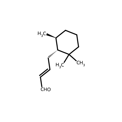 C[C@H]1CCCC(C)(C)[C@@H]1CC=CC=O